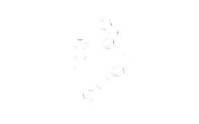 Cc1ccccc1N1CCN(c2cccc(C3Cc4ccc5c(ccc6ccccc65)c4CC3(C)C)c2)CC1.O=C(O)c1ccc2ncccc2c1